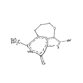 CCOC(=O)c1[nH]c(=O)c2sc(Br)c3c2c1CCCO3